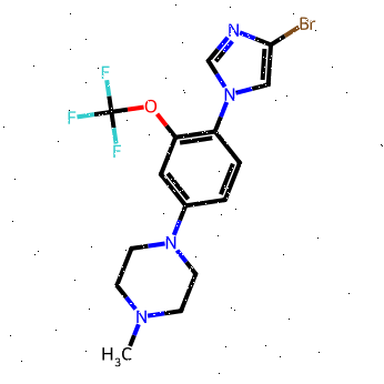 CN1CCN(c2ccc(-n3cnc(Br)c3)c(OC(F)(F)F)c2)CC1